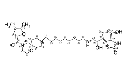 Cc1cc(C(=O)N2CCOC3(CCN(CCCCCCCCCNCC(O)c4ccc(O)c5[nH]c(=O)sc45)CC3)C2)oc1C